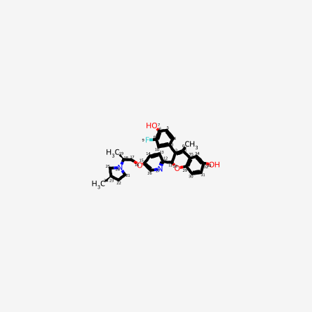 CC1=C(c2ccc(O)c(F)c2)C(c2ccc(OC[C@H](C)N3CC[C@@H](C)C3)cn2)Oc2ccc(O)cc21